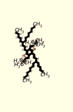 CCCCCCCCC(CCCCCC)CCCc1c2c[c]([Sn]([CH3])([CH3])[CH3])sc2c(CCCC(CCCCCC)CCCCCCCC)c2c[c]([Sn]([CH3])([CH3])[CH3])sc12